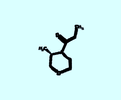 CCC(=O)N1CCOC[C@@H]1C